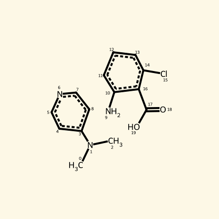 CN(C)c1ccncc1.Nc1cccc(Cl)c1C(=O)O